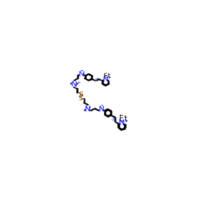 CC[n+]1ccccc1/C=C/c1ccc(N(C)CCCN(C)CCCSSCCC[N+](C)(C)CCCN(C)c2ccc(/C=C/c3cccc[n+]3CC)cc2)cc1